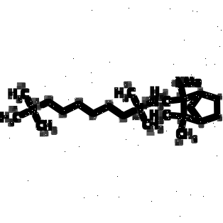 CNC1(C)C2CCC(C2)C1(C)C.C[N+](C)(C)CCCCCC[N+](C)(C)C